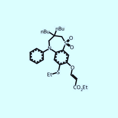 CCCCC1(CCCC)CN(c2ccccc2)c2cc(SCC)c(O/C=C/C(=O)OCC)cc2S(=O)(=O)C1